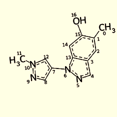 Cc1cc2cnn(-c3cnn(C)c3)c2cc1O